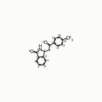 O=C(CC1NC(=O)c2ccccc21)c1ccc(C(F)(F)F)cc1